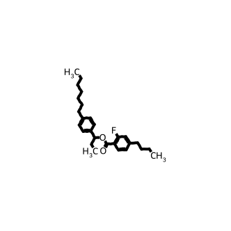 CCCCCCCc1ccc(C(CC)OC(=O)c2ccc(CCCC)cc2F)cc1